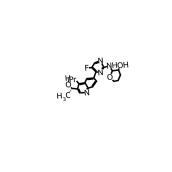 CC(C)c1c([C@H](C)O)cnc2ccc(-c3nc(NC4OCCCC4O)ncc3F)cc12